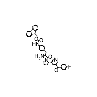 N[C@@H](Cc1ccc(NC(=O)OCC2c3ccccc3-c3ccccc32)cc1)C(=O)N1CCC[C@H]1c1cncc(C(=O)c2ccc(F)cc2)c1